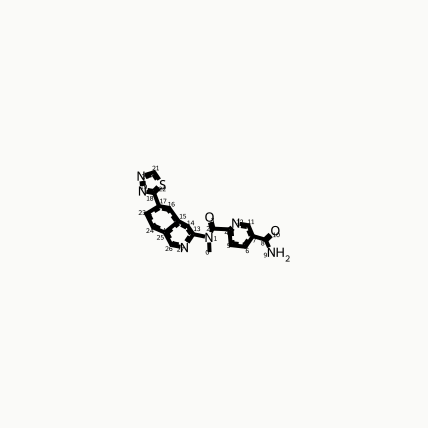 CN(C(=O)c1ccc(C(N)=O)cn1)c1cc2cc(-c3nncs3)ccc2cn1